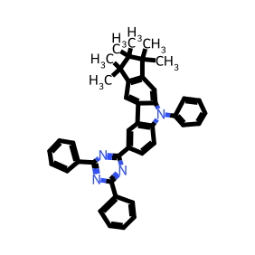 CC1(C)c2cc3c4cc(-c5nc(-c6ccccc6)nc(-c6ccccc6)n5)ccc4n(-c4ccccc4)c3cc2C(C)(C)C1(C)C